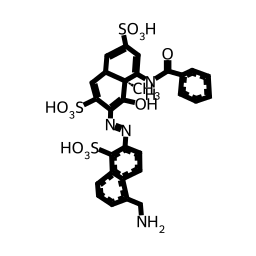 C[C@@]12C(NC(=O)c3ccccc3)=CC(S(=O)(=O)O)=CC1C=C(S(=O)(=O)O)C(N=Nc1ccc3c(CN)cccc3c1S(=O)(=O)O)=C2O